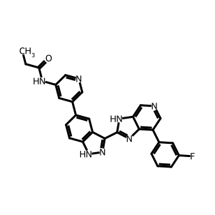 CCC(=O)Nc1cncc(-c2ccc3[nH]nc(-c4nc5c(-c6cccc(F)c6)cncc5[nH]4)c3c2)c1